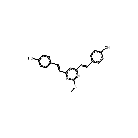 CSc1nc(/C=C/c2ccc(O)cc2)cc(/C=C/c2ccc(O)cc2)n1